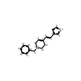 C(=Cc1ccsc1)C1=CCN(Cc2ccccc2)CC1